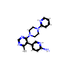 CCc1ncnc(N2CCN(c3ccccn3)CC2)c1-c1ccc(N)nc1